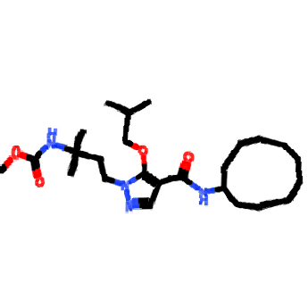 COC(=O)NC(C)(C)CCn1ncc(C(=O)NC2CCCCCCCCC2)c1OCC(C)C